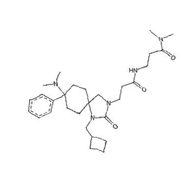 CN(C)C(=O)CCNC(=O)CCN1CC2(CCC(c3ccccc3)(N(C)C)CC2)N(CC2CCC2)C1=O